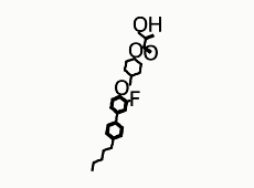 C=C(CO)C(=O)OC1CCC(COc2ccc(-c3ccc(CCCCC)cc3)cc2F)CC1